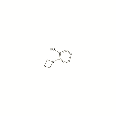 Oc1ccccc1N1CCC1